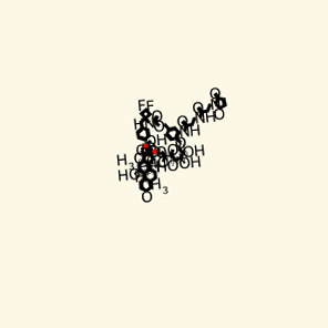 C[C@]12C=CC(=O)C=C1CC[C@@H]1[C@@H]2[C@@H](O)C[C@@]2(C)[C@H]1C[C@H]1O[C@@H](c3ccc(CC4(NC(=O)OCc5ccc(O[C@@H]6O[C@H](C(=O)O)[C@@H](O)[C@H](O)[C@H]6O)c(NC(=O)CCNC(=O)CCN6C(=O)C=CC6=O)c5)CC(F)(F)C4)cc3)O[C@]12C(=O)CO